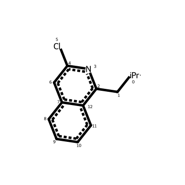 C[C](C)Cc1nc(Cl)cc2ccccc12